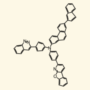 c1ccc2cc(-c3ccc4c(ccc5cc(N(c6ccc(-c7cc8ccccc8nn7)cc6)c6ccc(-c7ccc8c(n7)oc7ccccc78)cc6)ccc54)c3)ccc2c1